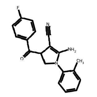 Cc1ccccc1N1CC(C(=O)c2ccc(F)cc2)C(C#N)=C1N